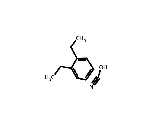 CCc1ccccc1CC.N#CO